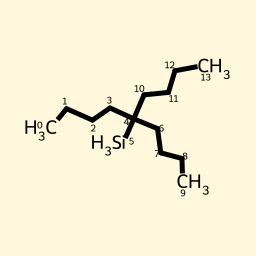 CCCCC([SiH3])(CCCC)CCCC